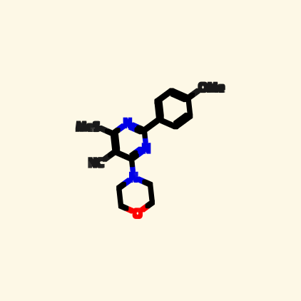 COc1ccc(-c2nc(SC)c(C#N)c(N3CCOCC3)n2)cc1